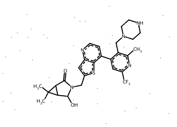 Cc1nc(C(F)(F)F)cc(-c2ccnc3cc(CN4C(=O)C5C(C4O)C5(C)C)sc23)c1CN1CCNCC1